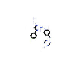 Cc1c(N)nc(Nc2ccc(CN3CCN(C)CC3)cc2)nc1-c1ccc(F)c(Cl)c1